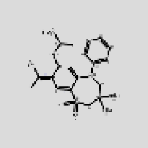 C=C1/C(=C\C(CN[C@H](C)C(=O)O)=C(/C)C(C)C)S(=O)(=O)CC(CCCC)(CCCC)CN1c1ccccc1